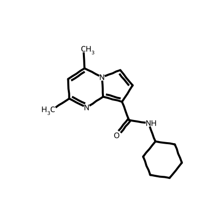 Cc1cc(C)n2ccc(C(=O)NC3CCCCC3)c2n1